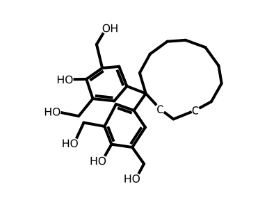 OCc1cc(C2(c3cc(CO)c(O)c(CO)c3)CCCCCCCCCCC2)cc(CO)c1O